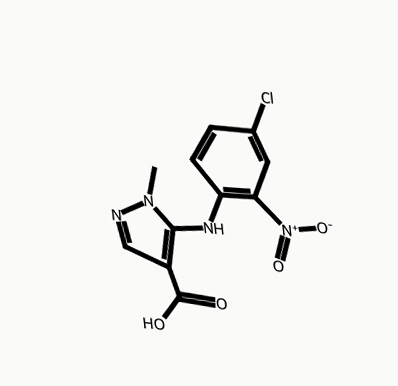 Cn1ncc(C(=O)O)c1Nc1ccc(Cl)cc1[N+](=O)[O-]